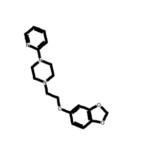 c1ccc(N2CCN(CCOc3ccc4c(c3)OCO4)CC2)nc1